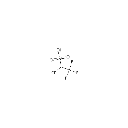 O=S(=O)(O)C(Cl)C(F)(F)F